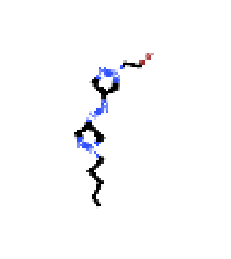 CCCCCn1cc(/N=N/c2cnn(CCBr)c2)cn1